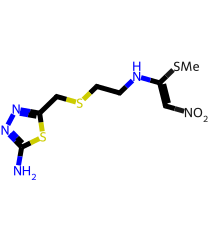 CSC(=C[N+](=O)[O-])NCCSCc1nnc(N)s1